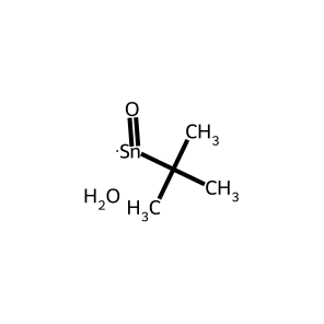 C[C](C)(C)[Sn]=[O].O